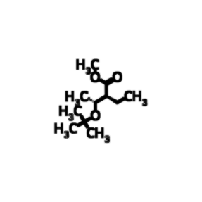 CC[C@H](C(=O)OC)[C@@H](C)OC(C)(C)C